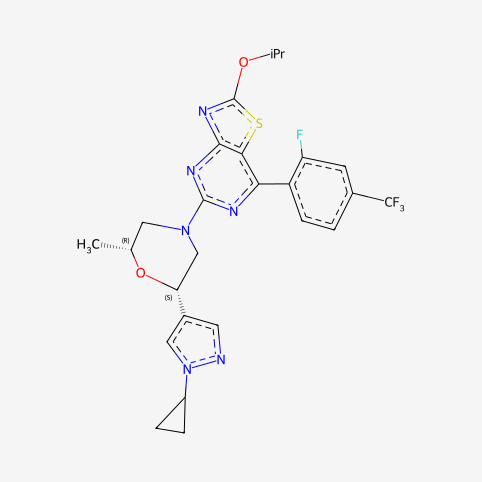 CC(C)Oc1nc2nc(N3C[C@@H](C)O[C@@H](c4cnn(C5CC5)c4)C3)nc(-c3ccc(C(F)(F)F)cc3F)c2s1